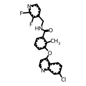 Cc1c(Oc2ccnc3cc(Cl)ccc23)cccc1C(=O)NCc1ccnc(F)c1F